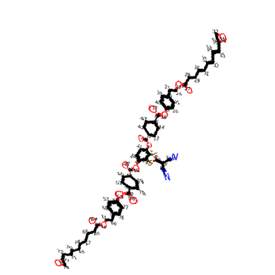 N#CC(C#N)=C1Sc2c(OC(=O)[C@H]3CC[C@H](C(=O)Oc4ccc(CCOC(=O)CCCCCCCCC5CO5)cc4)CC3)ccc(OC(=O)[C@H]3CC[C@H](C(=O)Oc4ccc(CCOC(=O)CCCCCCCCC5CO5)cc4)CC3)c2S1